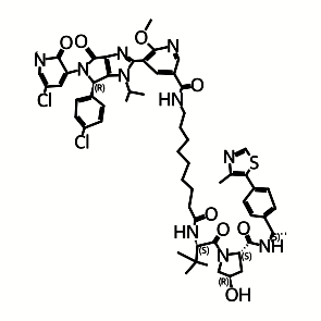 COc1ncc(C(=O)NCCCCCCCCC(=O)N[C@H](C(=O)N2C[C@H](O)C[C@H]2C(=O)N[C@@H](C)c2ccc(-c3scnc3C)cc2)C(C)(C)C)cc1-c1nc2c(n1C(C)C)[C@@H](c1ccc(Cl)cc1)N(c1cc(Cl)cn(C)c1=O)C2=O